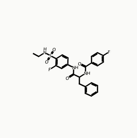 CCNS(=O)(=O)c1ccc(NC(=O)C(Cc2ccccc2)NC(=O)c2ccc(F)cc2)cc1F